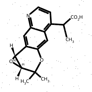 CC(C(=O)O)c1ccnc2cc3c(cc12)OC(C)(C)[C@@H]1O[C@H]31